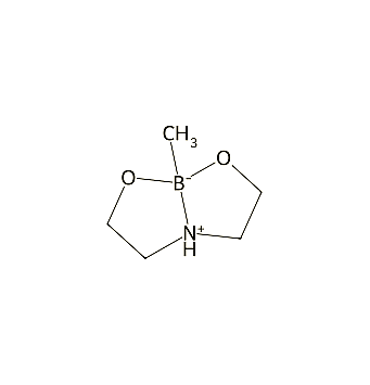 C[B-]12OCC[NH+]1CCO2